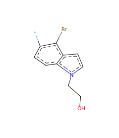 OCCn1ccc2c(Br)c(F)ccc21